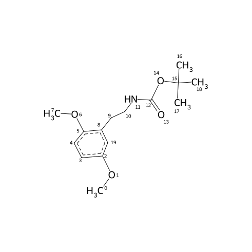 COc1ccc(OC)c(CCNC(=O)OC(C)(C)C)c1